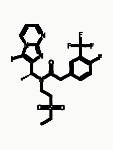 CCS(=O)(=O)CCN(C(=O)Cc1ccc(F)c(C(F)(F)F)c1)[C@H](C)c1nc2ncccn2c1I